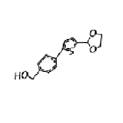 OCc1ccc(-c2ccc(C3OCCO3)s2)cc1